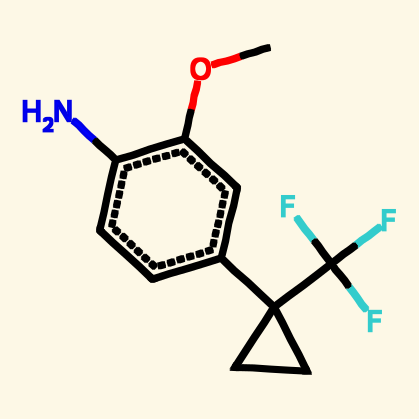 COc1cc(C2(C(F)(F)F)CC2)ccc1N